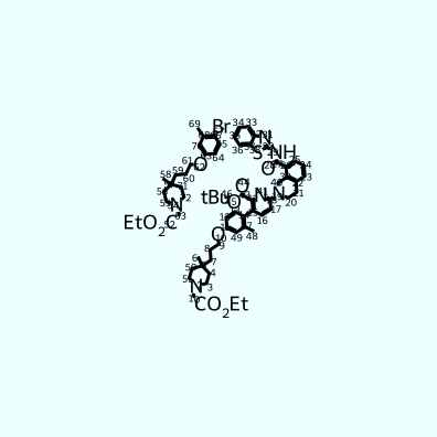 CCOC(=O)CN1CCC(C)(CCCOc2ccc(-c3ccc(N4CCc5cccc(C(=O)Nc6nc7ccccc7s6)c5C4)nc3C(=O)OC(C)(C)C)c(C)c2)CC1.CCOC(=O)CN1CCC(C)(CCCOc2ccc(Br)c(C)c2)CC1